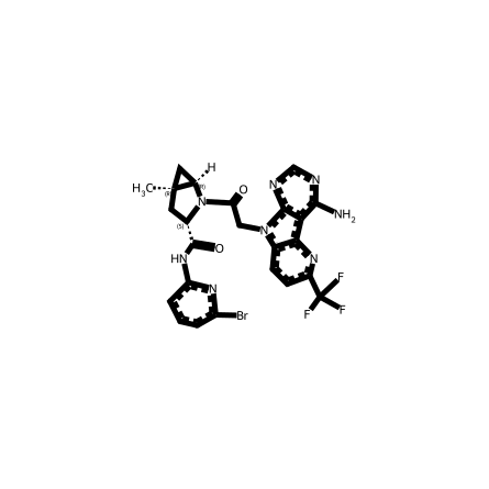 C[C@@]12C[C@@H](C(=O)Nc3cccc(Br)n3)N(C(=O)Cn3c4ccc(C(F)(F)F)nc4c4c(N)ncnc43)[C@@H]1C2